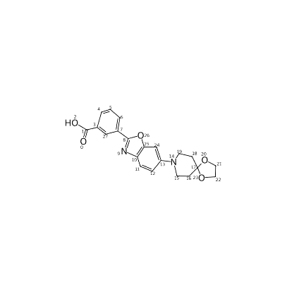 O=C(O)c1cccc(-c2nc3ccc(N4CCC5(CC4)OCCO5)cc3o2)c1